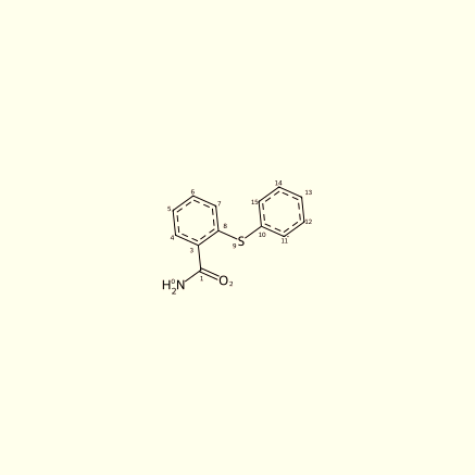 NC(=O)c1ccccc1Sc1[c]cccc1